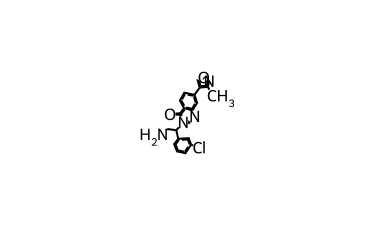 Cc1nocc1-c1ccc2c(=O)n(C(CN)c3cccc(Cl)c3)cnc2c1